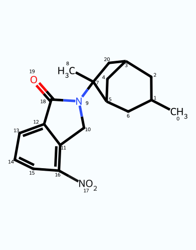 CC1CC2CC(C1)C(C)(N1Cc3c(cccc3[N+](=O)[O-])C1=O)C2